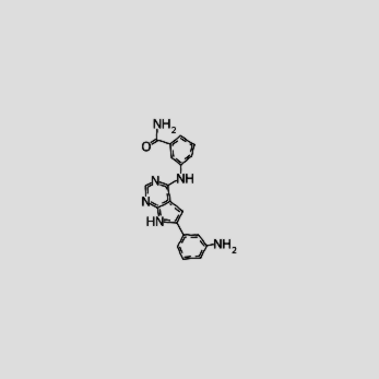 NC(=O)c1cccc(Nc2ncnc3[nH]c(-c4cccc(N)c4)cc23)c1